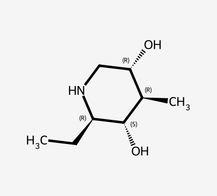 CC[C@H]1NC[C@H](O)[C@@H](C)[C@@H]1O